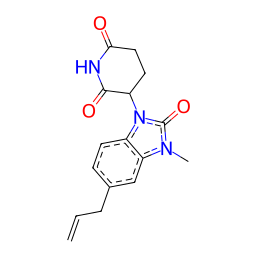 C=CCc1ccc2c(c1)n(C)c(=O)n2C1CCC(=O)NC1=O